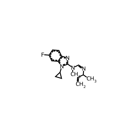 C=CC(C)/N=C\N(C)c1nc2ccc(F)cc2n1C1CC1